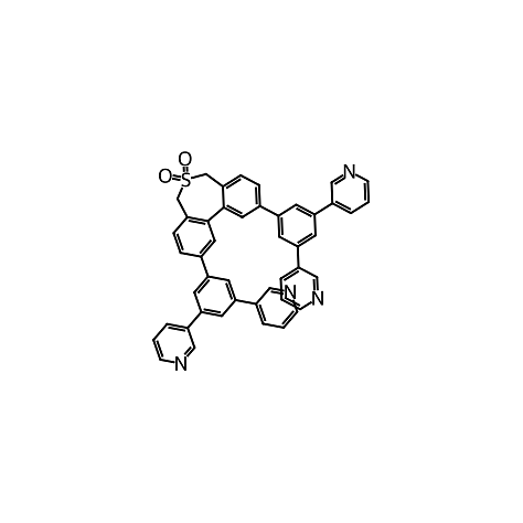 O=S1(=O)Cc2ccc(-c3cc(-c4cccnc4)cc(-c4cccnc4)c3)cc2-c2cc(-c3cc(-c4cccnc4)cc(-c4cccnc4)c3)ccc2C1